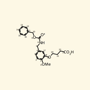 COc1ccc(CNC(=O)OCc2ccccc2)cc1OCCCC(=O)O